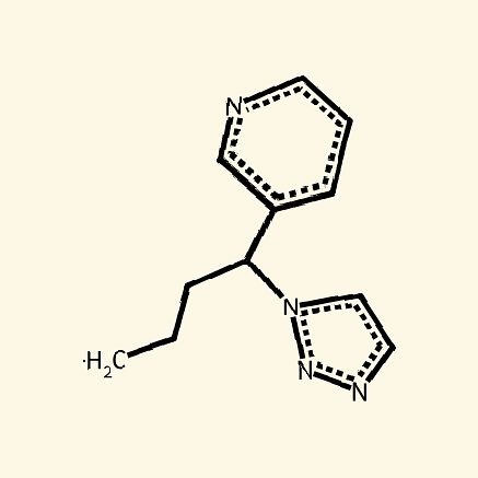 [CH2]CCC(c1cccnc1)n1ccnn1